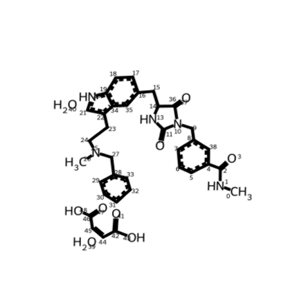 CNC(=O)c1cccc(CN2C(=O)NC(Cc3ccc4[nH]cc(CCN(C)Cc5ccccc5)c4c3)C2=O)c1.O.O.O=C(O)/C=C\C(=O)O